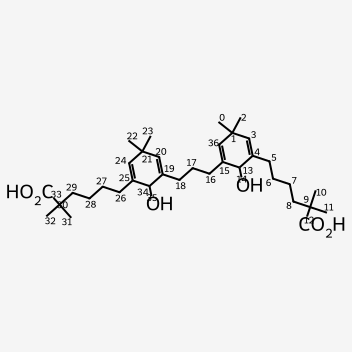 CC1(C)C=C(CCCCC(C)(C)C(=O)O)C(O)C(CCCC2=CC(C)(C)C=C(CCCCC(C)(C)C(=O)O)C2O)=C1